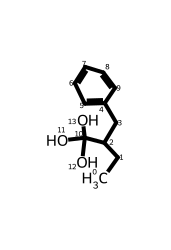 CCC(Cc1ccccc1)C(O)(O)O